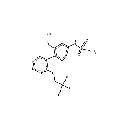 COc1cc(NS(C)(=O)=O)ccc1-c1cncnc1OCC(F)(F)F